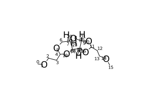 COCCC1OC[C@H]2O[C@@H]3OC(CCOC)O[C@@H]3[C@H]2O1